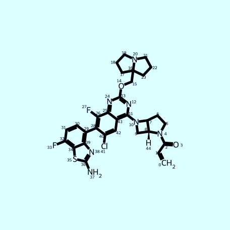 C=CC(=O)N1CCC2[C@H]1CN2c1nc(OCC23CCCN2CCC3)nc2c(F)c(-c3ccc(F)c4sc(N)nc34)c(Cl)cc12